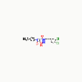 Cc1ccc(N2CC(C(=O)NCCCc3ccc(Cl)c(Cl)c3)=C(O)C2=O)cc1